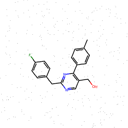 Cc1ccc(-c2nc(Cc3ccc(F)cc3)ncc2CO)cc1